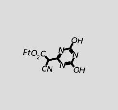 CCOC(=O)C(C#N)c1nc(O)nc(O)n1